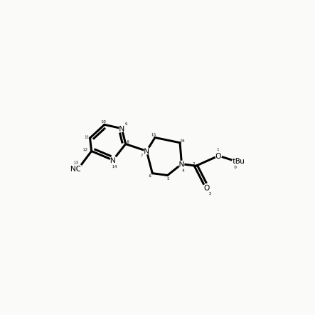 CC(C)(C)OC(=O)N1CCN(c2nccc(C#N)n2)CC1